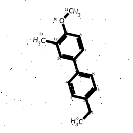 CCc1ccc(-c2ccc(OC)c(C)c2)cc1